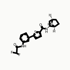 O=C(N[C@@H]1C[C@H]2CC[C@@H]1N2)c1ccc(-c2cccc(NC(=O)C(F)F)c2)s1